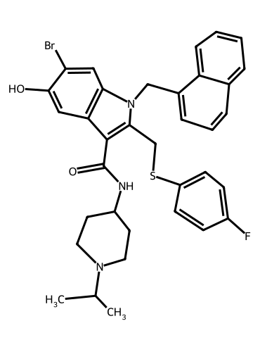 CC(C)N1CCC(NC(=O)c2c(CSc3ccc(F)cc3)n(Cc3cccc4ccccc34)c3cc(Br)c(O)cc23)CC1